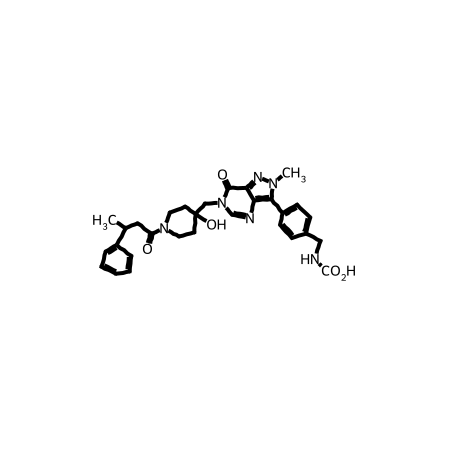 CC(CC(=O)N1CCC(O)(Cn2cnc3c(-c4ccc(CNC(=O)O)cc4)n(C)nc3c2=O)CC1)c1ccccc1